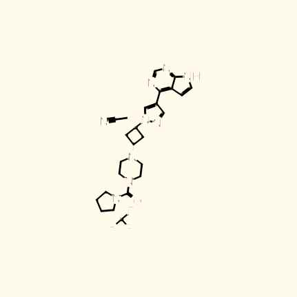 N#CC[C@]1(n2cc(-c3ncnc4[nH]ccc34)cn2)C[C@H](N2CCN(C(=O)N3CCC[C@H]3C(F)(F)F)CC2)C1